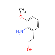 COc1cccc(CCO)c1N